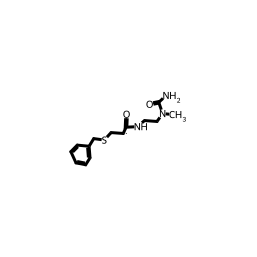 CN(CCNC(=O)[CH]CSCc1ccccc1)C(N)=O